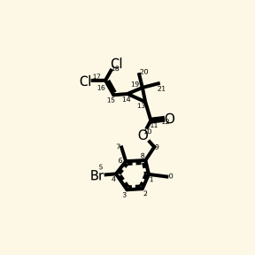 Cc1ccc(Br)c(C)c1COC(=O)C1C(C=C(Cl)Cl)C1(C)C